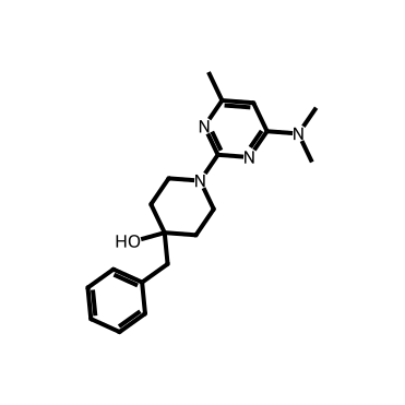 Cc1cc(N(C)C)nc(N2CCC(O)(Cc3ccccc3)CC2)n1